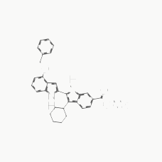 COC(=O)c1ccc2c(C3CCCCC3)c(-c3cc4c(OCc5ccccc5)cccc4[nH]3)[nH]c2c1